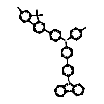 Cc1ccc(N(c2ccc(-c3ccc(-n4c5ccccc5c5ccccc54)cc3)cc2)c2ccc(-c3ccc4c(c3)C(C)(C)c3cc(C)ccc3-4)cc2)cc1